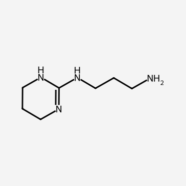 NCCCNC1=NCCCN1